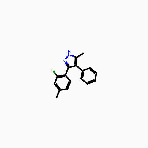 Cc1ccc(-c2n[nH]c(C)c2-c2ccccc2)c(F)c1